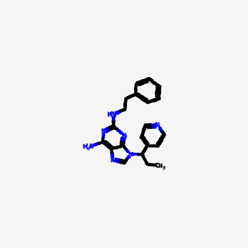 CCC(c1ccncc1)n1cnc2c(N)nc(NCCc3ccccc3)nc21